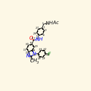 CC(=O)NCc1ccc(NC(=O)c2ccc3nc(C)n(-c4ccc(F)cc4)c3c2)cc1